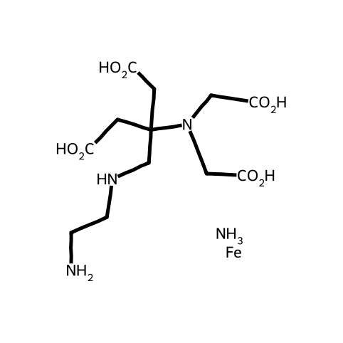 N.NCCNCC(CC(=O)O)(CC(=O)O)N(CC(=O)O)CC(=O)O.[Fe]